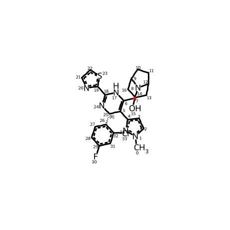 Cn1ccc(C2=C(CN3C4CCC3CC(O)C4)NC(c3nccs3)=N[C@H]2c2ccc(F)cc2Cl)n1